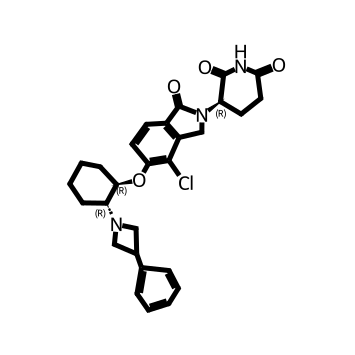 O=C1CC[C@@H](N2Cc3c(ccc(O[C@@H]4CCCC[C@H]4N4CC(c5ccccc5)C4)c3Cl)C2=O)C(=O)N1